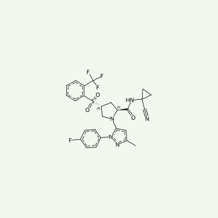 Cc1cc(N2C[C@H](S(=O)(=O)c3ccccc3C(F)(F)F)C[C@H]2C(=O)NC2(C#N)CC2)n(-c2ccc(F)cc2)n1